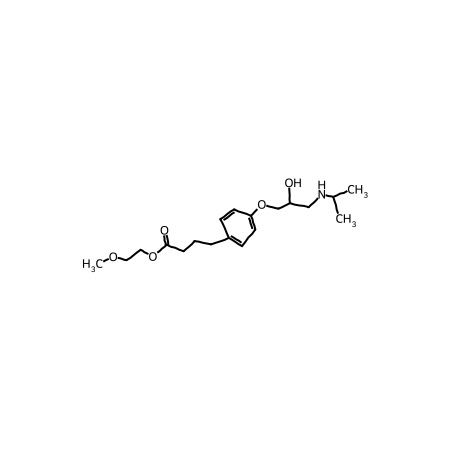 COCCOC(=O)CCCc1ccc(OCC(O)CNC(C)C)cc1